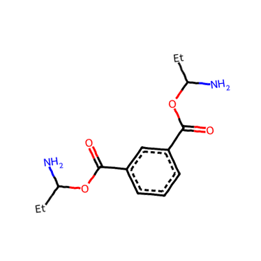 CCC(N)OC(=O)c1cccc(C(=O)OC(N)CC)c1